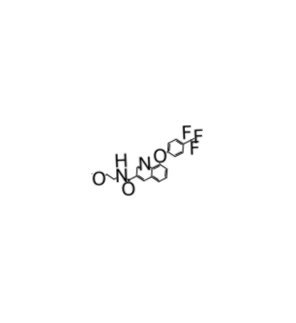 COCCNC(=O)c1cnc2c(Oc3ccc(C(F)(F)F)cc3)cccc2c1